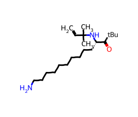 C=CC(C)(C)N[C@@H](CCCCCCCCCCN)C(=O)C(C)(C)C